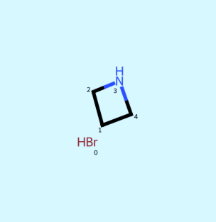 Br.C1CNC1